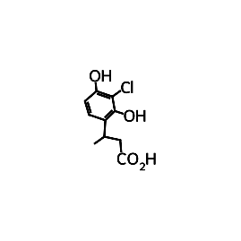 CC(CC(=O)O)c1ccc(O)c(Cl)c1O